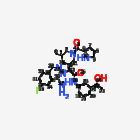 CC1CN(C(=O)c2ccc[nH]2)Cc2c(C(=O)Nc3cccc([C@H](C)O)c3)nn(Cc3ccc(F)cc3CN)c21